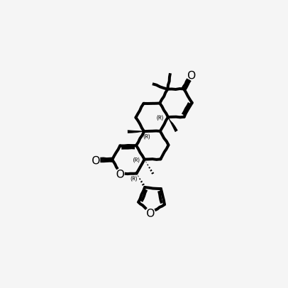 CC1(C)C(=O)C=C[C@@]2(C)C1CC[C@@]1(C)C3=CC(=O)O[C@@H](c4ccoc4)[C@]3(C)CCC21